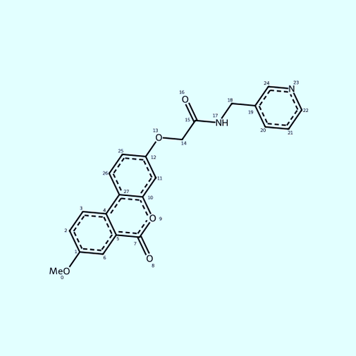 COc1ccc2c(c1)c(=O)oc1cc(OCC(=O)NCc3cccnc3)ccc12